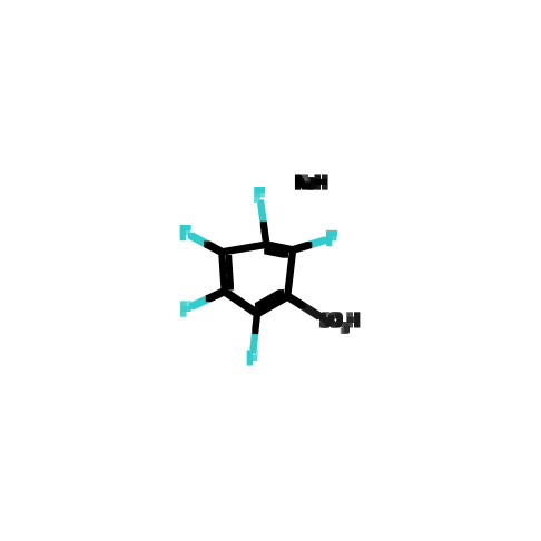 O=S(=O)(O)c1c(F)c(F)c(F)c(F)c1F.[NaH]